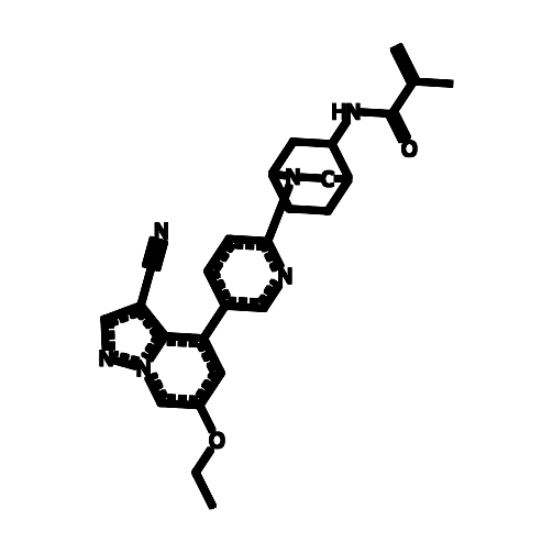 C=C(C)C(=O)NC1CC2CCC1CN2c1ccc(-c2cc(OCC)cn3ncc(C#N)c23)cn1